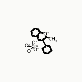 Cc1[o+]c2ccccc2cc1-c1ccccc1.[O-][Cl+3]([O-])([O-])[O-]